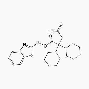 O=C(O)CC(C(=O)OSc1nc2ccccc2s1)(C1CCCCC1)C1CCCCC1